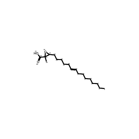 CCCCCCCCC=CCCCCCC1OC1(C)C(=O)O